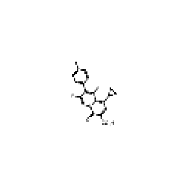 Cc1ccc(-c2c(F)cn3c(=O)c(C(=O)O)cc(C4CC4)c3c2C)cc1